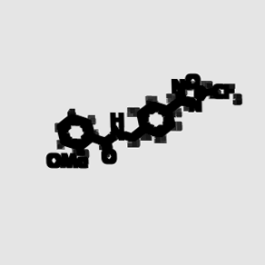 COc1ccccc1C(=O)NCc1ccc(-c2noc(C(F)(F)F)n2)cc1